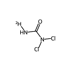 [2H]NC(=O)N(Cl)Cl